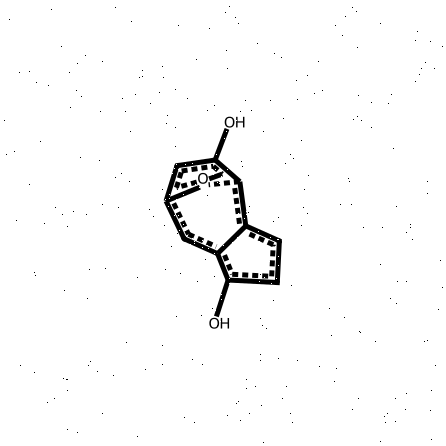 Oc1ccc2c3oc(cc1-2)cc3O